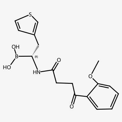 COc1ccccc1C(=O)CCC(=O)N[C@@H](Cc1ccsc1)B(O)O